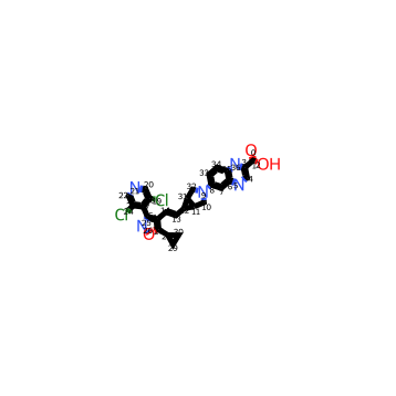 O=C(O)c1cnc2cc(N3CC4C(/C=C/c5c(-c6c(Cl)cncc6Cl)noc5C5CC5)C4C3)ccc2n1